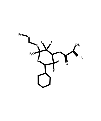 C=C(C)C(=O)OC1C(F)(F)C(C2CCCCC2)OC(OCOC(C)C)(C(F)(F)F)C1(F)F